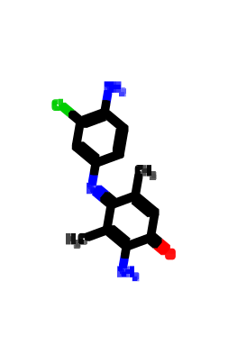 CC1=CC(=O)C(N)=C(C)C1=Nc1ccc(N)c(Cl)c1